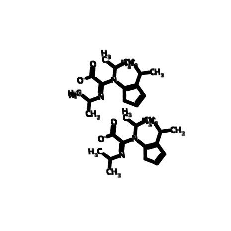 CC(C)N=C(C(=O)[O-])N(C1=C(C(C)C)C=CC1)C(C)C.CC(C)N=C(C(=O)[O-])N(C1=C(C(C)C)C=CC1)C(C)C.[Ni+2]